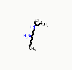 CCCCCC(N)CCCNC(CC)CCC